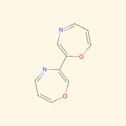 C1=COC=C(C2=CN=CC=CO2)N=C1